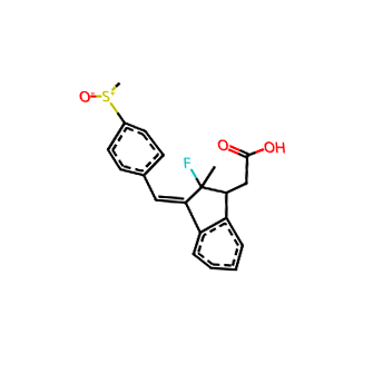 C[S+]([O-])c1ccc(C=C2c3ccccc3C(CC(=O)O)C2(C)F)cc1